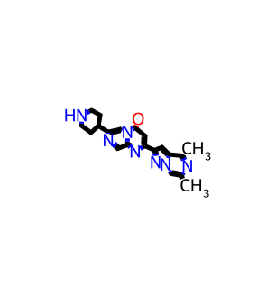 Cc1cn2nc(-c3cc(=O)n4cc(C5CCNCC5)ncc4n3)cc2c(C)n1